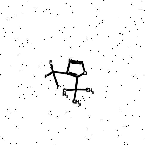 CC(C)(C)c1ocnc1C(F)(F)F